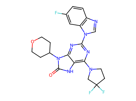 O=c1[nH]c2c(N3CCC(F)(F)C3)nc(-n3cnc4ccc(F)cc43)nc2n1C1CCOCC1